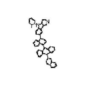 CC1C=CC=CC1n1c2ccncc2c2cc(-c3ccc(-c4c5ccccc5c(-c5ccc6ccccc6c5)c5ccccc45)c4ccccc34)ccc21